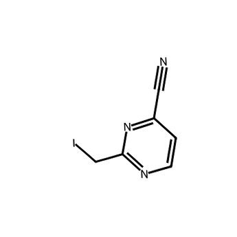 N#Cc1ccnc(CI)n1